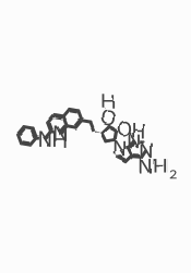 Nc1ncnc2c1ccn2[C@@H]1C[C@H](CCc2ccc3ccc(Nc4ccccc4)nc3c2)[C@@H](O)[C@H]1O